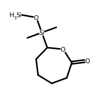 C[Si](C)(O[SiH3])C1CCCCC(=O)O1